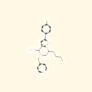 CCCCC1CN(Cc2ccncc2)C(O)c2cc(-c3ccc(Cl)cc3)nn21